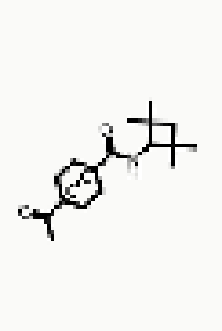 CC(=O)C12CCC(C(=O)NC3C(C)(C)CC3(C)C)(CC1)CC2